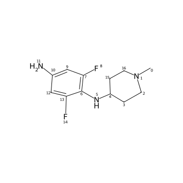 CN1CCC(Nc2c(F)cc(N)cc2F)CC1